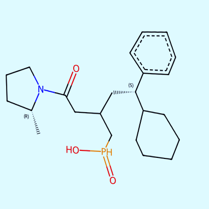 C[C@@H]1CCCN1C(=O)CC(C[C@H](c1ccccc1)C1CCCCC1)C[PH](=O)O